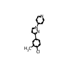 Cc1cc(-c2ccn(-c3ccncc3)n2)ccc1Cl